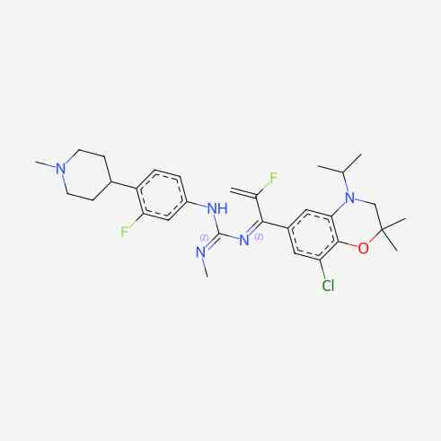 C=C(F)/C(=N\C(=N/C)Nc1ccc(C2CCN(C)CC2)c(F)c1)c1cc(Cl)c2c(c1)N(C(C)C)CC(C)(C)O2